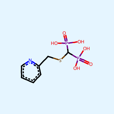 O=P(O)(O)C(SCc1ccccn1)P(=O)(O)O